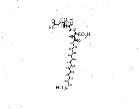 CCC(=O)CC[C@H](NC(=O)CC[C@H](NC(=O)CCCCCCCCCCCCCCC(=O)O)C(=O)O)C(=O)O